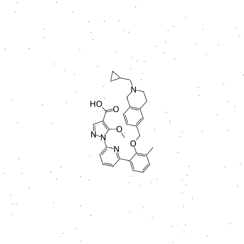 COc1c(C(=O)O)cnn1-c1cccc(-c2cccc(C)c2OCc2ccc3c(c2)CCN(CC2CC2)C3)n1